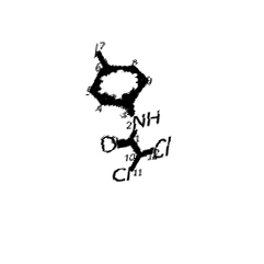 O=C(Nc1ccc(I)cc1)C(Cl)Cl